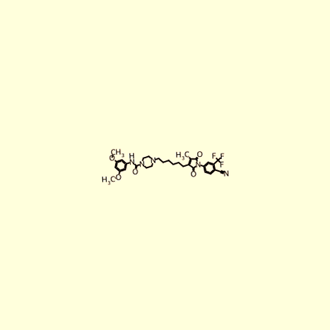 COc1cc(NC(=O)N2CCN(CCCCCCC3=C(C)C(=O)N(c4ccc(C#N)c(C(F)(F)F)c4)C3=O)CC2)cc(OC)c1